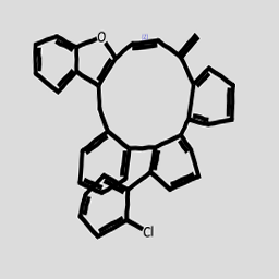 C=C1/C=C\c2oc3ccccc3c2Cc2ccccc2-c2c(-c3ccccc3Cl)cccc2-c2ccccc21